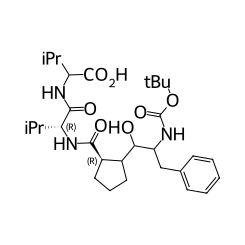 CC(C)C(NC(=O)[C@H](NC(=O)[C@@H]1CCCC1C(O)C(Cc1ccccc1)NC(=O)OC(C)(C)C)C(C)C)C(=O)O